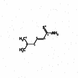 CC(C)C/C=C/C(N)=S